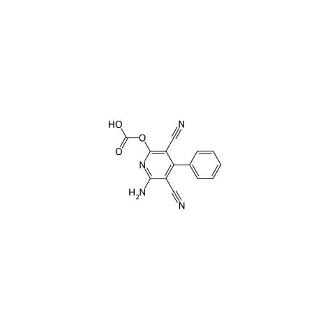 N#Cc1c(N)nc(OC(=O)O)c(C#N)c1-c1ccccc1